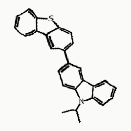 CC(C)n1c2ccccc2c2cc(-c3ccc4sc5ccccc5c4c3)ccc21